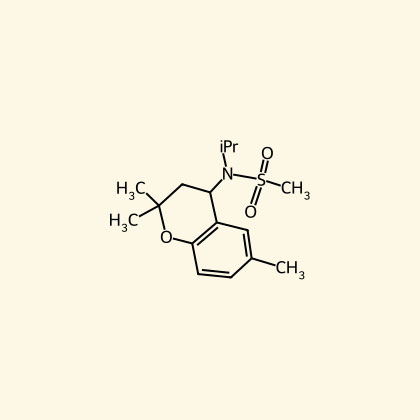 Cc1ccc2c(c1)C(N(C(C)C)S(C)(=O)=O)CC(C)(C)O2